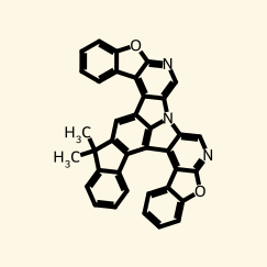 CC1(C)c2ccccc2-c2c1cc1c3c4c(ncc3n3c5cnc6oc7ccccc7c6c5c2c13)oc1ccccc14